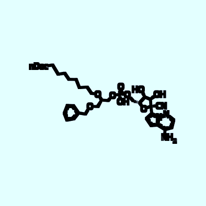 CCCCCCCCCCCCCCCCCCO[C@H](COCc1ccccc1)COP(=O)(O)OC[C@H]1O[C@@](C#N)(c2ccc3c(N)ccnn23)[C@H](O)[C@@H]1O